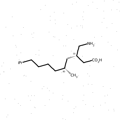 CC(C)CCCC[C@@H](C)C[C@H](CN)CC(=O)O